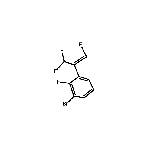 FC=C(c1cccc(Br)c1F)C(F)F